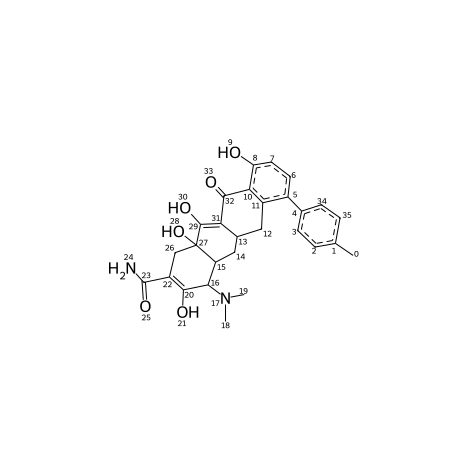 Cc1ccc(-c2ccc(O)c3c2CC2CC4C(N(C)C)C(O)=C(C(N)=O)CC4(O)C(O)=C2C3=O)cc1